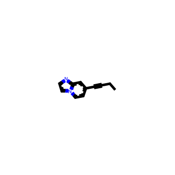 CCC#Cc1ccn2ccnc2c1